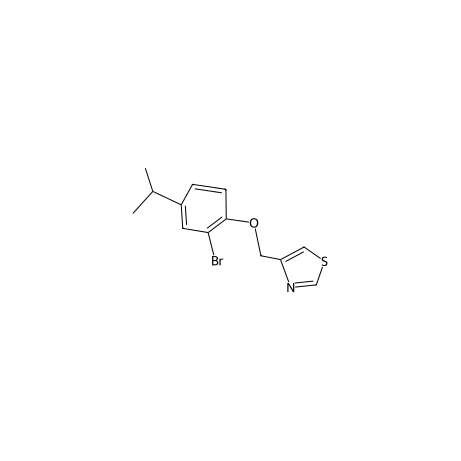 CC(C)c1ccc(OCc2cscn2)c(Br)c1